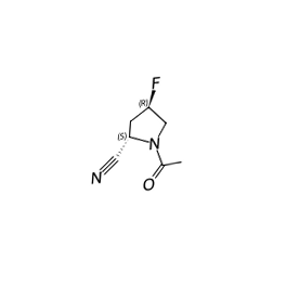 CC(=O)N1C[C@H](F)C[C@H]1C#N